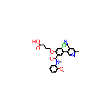 COc1ccccc1N(C)C(=O)c1cc(-c2cnc(C)cc2C#N)c(Cl)cc1OCCCC(=O)O